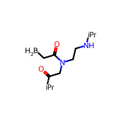 BCC(=O)N(CCNC(C)C)CC(=O)C(C)C